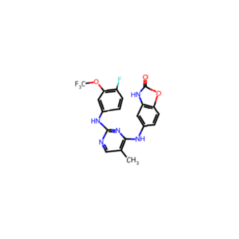 Cc1cnc(Nc2ccc(F)c(OC(F)(F)F)c2)nc1Nc1ccc2oc(=O)[nH]c2c1